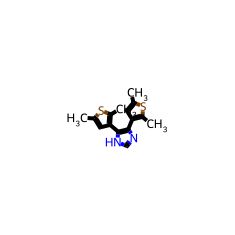 Cc1cc(-c2nc[nH]c2-c2cc(C)sc2C)c(C)s1